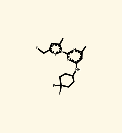 Cc1cc(NC2CCC(F)(F)CC2)nc(-n2nc(CF)cc2C)n1